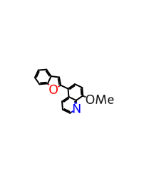 COc1ccc(-c2cc3ccccc3o2)c2cccnc12